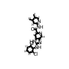 Cc1cnc(NC(=O)c2cc3[nH]c(Nc4c(Cl)cccc4Cl)nc3cn2)cc1C